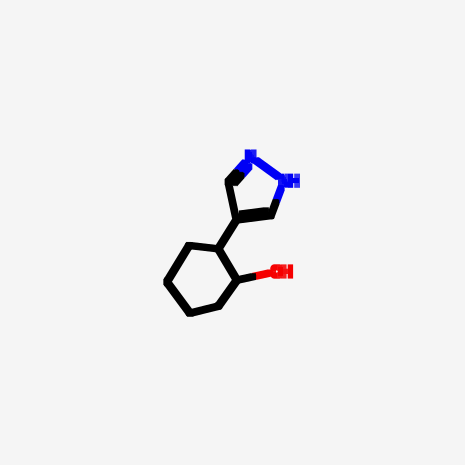 OC1CCCCC1c1cn[nH]c1